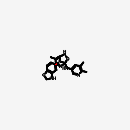 CC1=C2NOC(Nc3cnc(C)c(C)c3)(N=C1)N2c1ccc2c(c1)NCO2